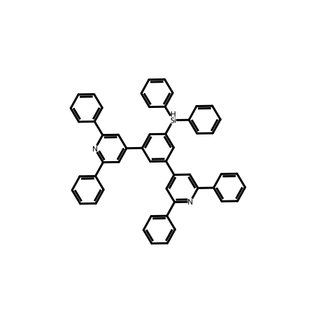 c1ccc(-c2cc(-c3cc(-c4cc(-c5ccccc5)nc(-c5ccccc5)c4)cc([SiH](c4ccccc4)c4ccccc4)c3)cc(-c3ccccc3)n2)cc1